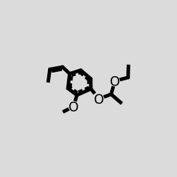 C/C=C\c1ccc(OC(C)OCC)c(OC)c1